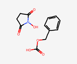 O=C(O)OCc1ccccc1.O=C1CCC(=O)N1O